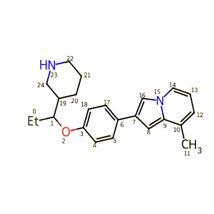 CCC(Oc1ccc(-c2cc3c(C)cccn3c2)cc1)C1CCCNC1